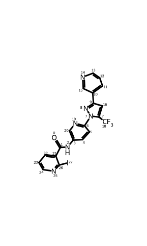 O=C(Nc1ccc(-n2nc(-c3cccnc3)cc2C(F)(F)F)nc1)c1cccnc1I